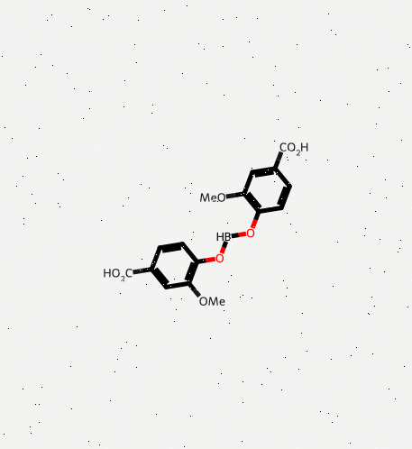 COc1cc(C(=O)O)ccc1OBOc1ccc(C(=O)O)cc1OC